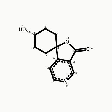 O=C1O[C@]2(CC[C@@H](O)CC2)c2ccncc21